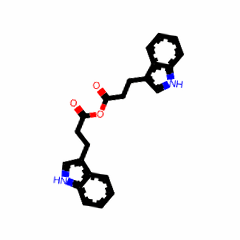 O=C(CCc1c[nH]c2ccccc12)OC(=O)CCc1c[nH]c2ccccc12